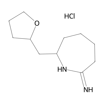 Cl.N=C1CCCCC(CC2CCCO2)N1